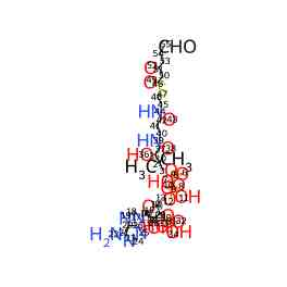 CC(C)(COP(=O)(O)OP(=O)(O)OC[C@H]1O[C@@H](n2cnc3c(N)ncnc32)[C@H](O)[C@@H]1OP(=O)(O)O)C(O)C(=O)NCCC(=O)NCCSC(=O)CC(=O)CCC=O